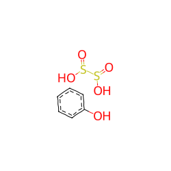 O=S(O)S(=O)O.Oc1ccccc1